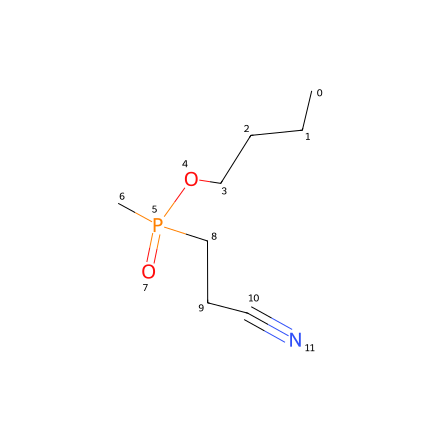 CCCCOP(C)(=O)CCC#N